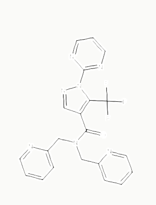 O=C(c1cnn(-c2ncccn2)c1C(F)(F)F)N(Cc1ccccn1)Cc1ccccn1